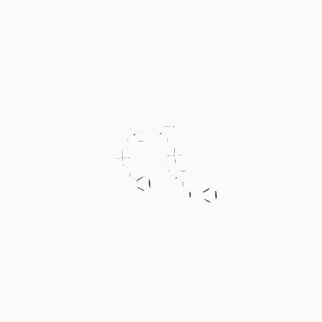 Cc1ccc(COCC(CBr)(CBr)COCC(CBr)(CBr)COCC(CBr)(CBr)COCC(CBr)(CBr)COCC(CBr)(CBr)COC(=O)Cc2ccccc2)cc1